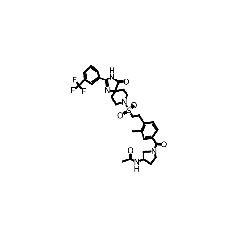 CC(=O)NC1CCN(C(=O)c2ccc(CCS(=O)(=O)N3CCC4(CC3)N=C(c3cccc(C(F)(F)F)c3)NC4=O)c(C)c2)C1